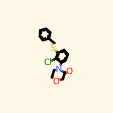 O=C1COCCN1c1cccc(SCc2ccccc2)c1Cl